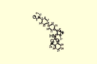 CC[C@H](C=O)c1ccc(-c2ccc(-c3snc(C)c3NC(=O)O[C@H](C)c3ccccc3)cc2)cc1